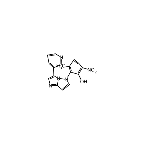 Cc1ccc([N+](=O)[O-])c(O)c1-n1ccc2ncc(-c3cccnc3)n21